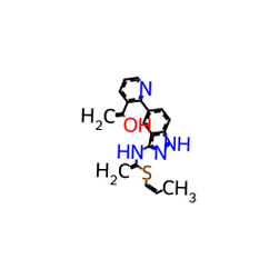 C=C(Nc1n[nH]c2ccc(-c3ncccc3C(=C)O)cc12)S/C=C\C